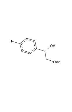 CC(=O)OC[C@@H](O)c1ccc(I)cc1